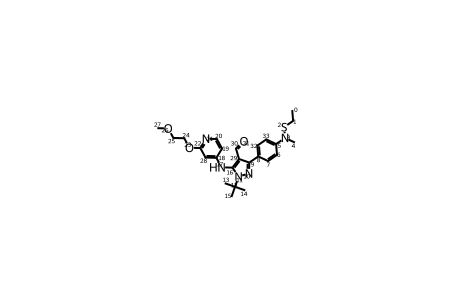 CCSN(C)c1ccc(-c2nn(C(C)(C)C)c(Nc3ccnc(OCCOC)c3)c2C=O)cc1